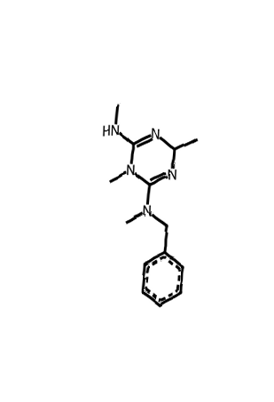 CNC1=NC(C)N=C(N(C)Cc2ccccc2)N1C